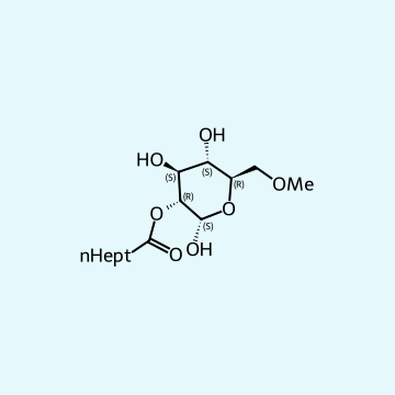 CCCCCCCC(=O)O[C@@H]1[C@@H](O)[C@H](O)[C@@H](COC)O[C@@H]1O